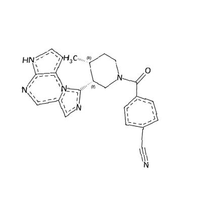 C[C@@H]1CCN(C(=O)c2ccc(C#N)cc2)C[C@@H]1c1ncc2cnc3[nH]ccc3n12